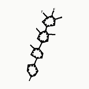 Cc1ccc(-c2ccc(-c3cc(C)c(-c4cc(C)c(F)c(F)c4)c(C)c3)c(C)c2)cc1